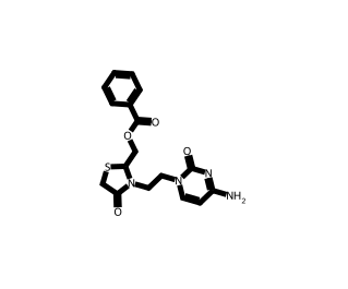 Nc1ccn(CCN2C(=O)CSC2COC(=O)c2ccccc2)c(=O)n1